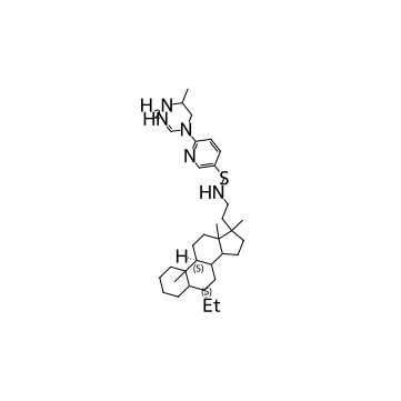 CC[C@H]1CC2C3CCC(C)(CCNSc4ccc(N(C=N)CC(C)N)nc4)C3(C)CC[C@@H]2C2(C)CCCCC12